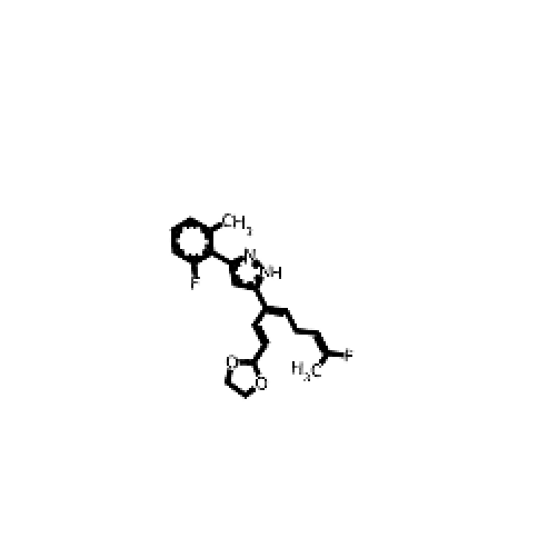 C/C(F)=C\C/C=C(\C=C\C1OCCO1)c1cc(-c2c(C)cccc2F)n[nH]1